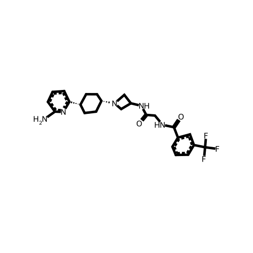 Nc1cccc([C@H]2CC[C@@H](N3CC(NC(=O)CNC(=O)c4cccc(C(F)(F)F)c4)C3)CC2)n1